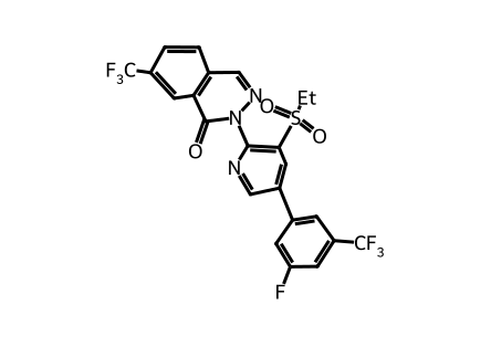 CCS(=O)(=O)c1cc(-c2cc(F)cc(C(F)(F)F)c2)cnc1-n1ncc2ccc(C(F)(F)F)cc2c1=O